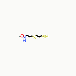 CONCCCSCCCS